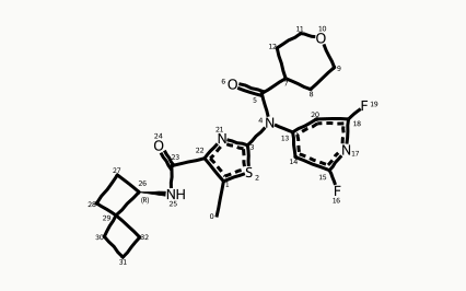 Cc1sc(N(C(=O)C2CCOCC2)c2cc(F)nc(F)c2)nc1C(=O)N[C@@H]1CCC12CCC2